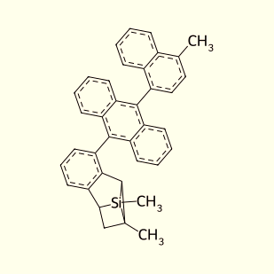 Cc1ccc(-c2c3ccccc3c(-c3cccc4c3C3C5(C)CC4[Si]35C)c3ccccc23)c2ccccc12